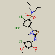 Br.CCCN(CCC)S(=O)(=O)c1cc(-c2csc(=Nc3cc(Cl)c(OC)cc3OC)n2C)ccc1Cl